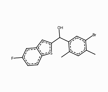 Cc1cc(C)c(C(O)c2cc3cc(F)ccc3s2)cc1Br